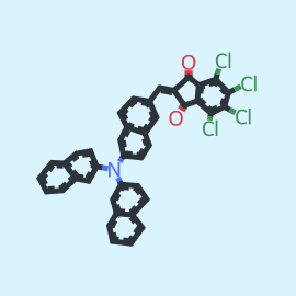 O=C1C(=Cc2ccc3cc(N(c4ccc5ccccc5c4)c4ccc5ccccc5c4)ccc3c2)C(=O)c2c(Cl)c(Cl)c(Cl)c(Cl)c21